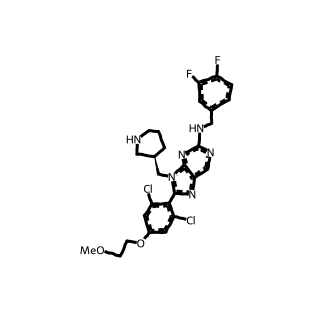 COCCOc1cc(Cl)c(-c2nc3cnc(NCc4ccc(F)c(F)c4)nc3n2C[C@@H]2CCCNC2)c(Cl)c1